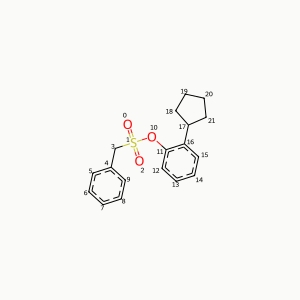 O=S(=O)(Cc1ccccc1)Oc1ccccc1C1CCCC1